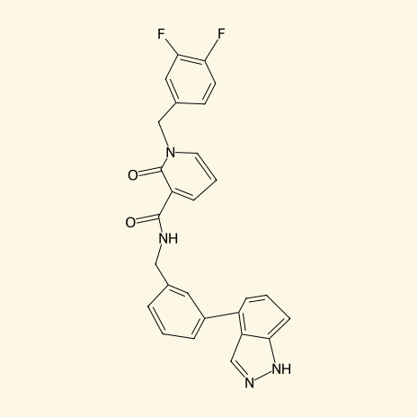 O=C(NCc1cccc(-c2cccc3[nH]ncc23)c1)c1cccn(Cc2ccc(F)c(F)c2)c1=O